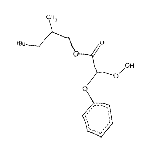 CC(COC(=O)C(OO)Oc1ccccc1)CC(C)(C)C